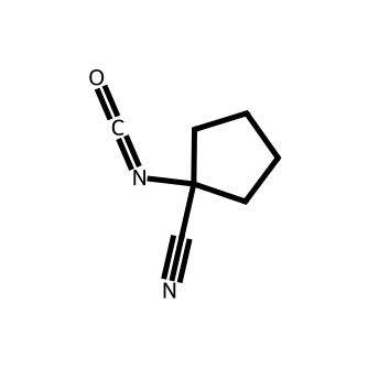 N#CC1(N=C=O)CCCC1